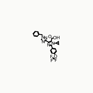 O=C(O)c1c(-c2ncn(Cc3ccccc3)n2)nc(-c2ccc(OC(F)(F)F)cc2)n1C1CC1